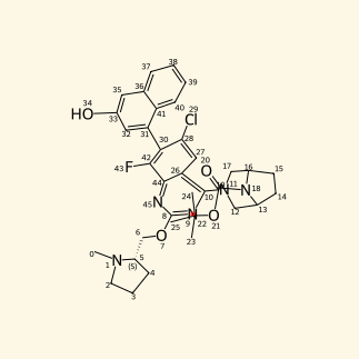 CN1CCC[C@H]1COc1nc(N2CC3CCC(C2)N3C(=O)OC(C)(C)C)c2cc(Cl)c(-c3cc(O)cc4ccccc34)c(F)c2n1